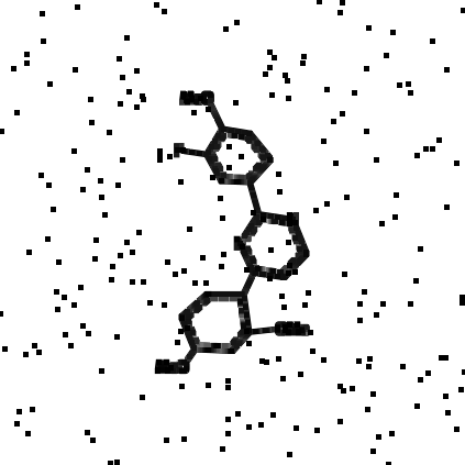 COc1ccc(-c2ccnc(-c3ccc(OC)c(F)c3)n2)c(OC)c1